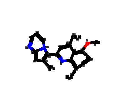 CCCCOc1ccc(C)c2nc(-c3c(C)cc4ncccn34)cc(C(=O)O)c12